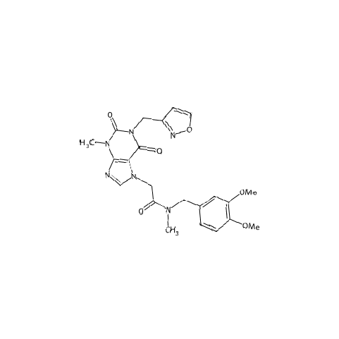 COc1ccc(CN(C)C(=O)Cn2cnc3c2c(=O)n(Cc2ccon2)c(=O)n3C)cc1OC